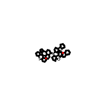 c1ccc2c(c1)Sc1ccccc1C21c2ccccc2-c2ccc(N(c3ccc4c5ccccc5n(-c5cccc6ccccc56)c4c3)c3cccc4oc5ccccc5c34)c3cccc1c23